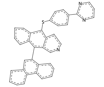 c1cnc(-c2ccc(Sc3c4ccccc4c(-c4cc5ccccc5c5ccccc45)c4cnccc34)cc2)nc1